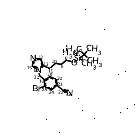 CC(C)(C)[Si](C)(C)OCCCCc1cncn1Cc1ccc(C#N)cc1Br